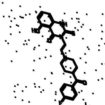 O=C(c1ccc(F)cc1)C1CCN(CCn2c(=S)[nH]c3cccc(O)c3c2=O)CC1